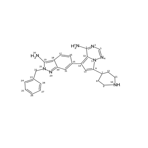 Nc1ncnn2c(C3CCNCC3)cc(-c3ccc4c(N)n(Cc5ccccc5)nc4c3)c12